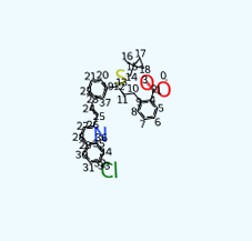 COC(=O)c1ccccc1CC[C@H](SCC1(C)CC1)c1cccc(/C=C/c2ccc3ccc(Cl)cc3n2)c1